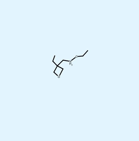 CCO[SiH2]CC1(CC)COC1